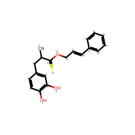 N#CC(Cc1ccc(O)c(O)c1)C(=S)OC/C=C/c1ccccc1